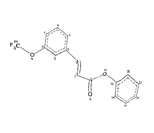 O=C(C=Cc1cccc(OC(F)(F)F)c1)Oc1ccccc1